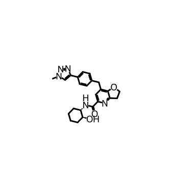 Cn1cc(-c2ccc(Cc3cc(C(=O)N[C@H]4CCCC[C@@H]4O)nc4c3OCC4)cc2)nn1